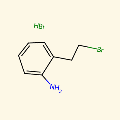 Br.Nc1ccccc1CCBr